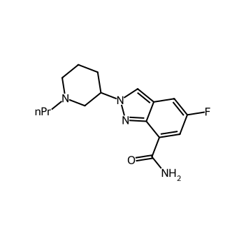 CCCN1CCCC(n2cc3cc(F)cc(C(N)=O)c3n2)C1